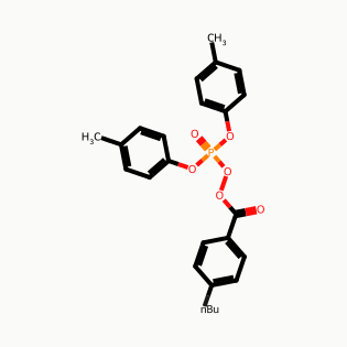 CCCCc1ccc(C(=O)OOP(=O)(Oc2ccc(C)cc2)Oc2ccc(C)cc2)cc1